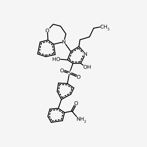 CCCCc1nc(O)c(S(=O)(=O)c2ccc(-c3ccccc3C(N)=O)cc2)c(O)c1N1CCCOc2ccccc21